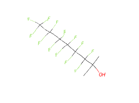 CC(C)(O)C(F)(F)C(F)(F)C(F)(F)C(F)(F)C(F)(F)C(F)(F)F